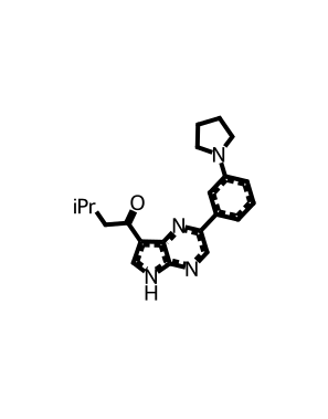 CC(C)CC(=O)c1c[nH]c2ncc(-c3cccc(N4CCCC4)c3)nc12